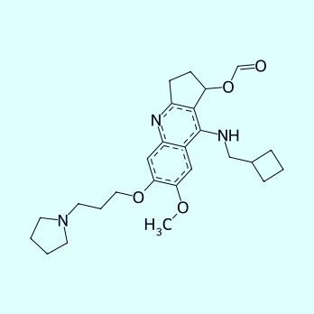 COc1cc2c(NCC3CCC3)c3c(nc2cc1OCCCN1CCCC1)CCC3OC=O